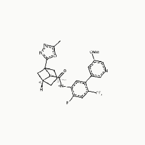 COc1cncc(-c2cc(NC(=O)N3[C@@H]4C[C@@H](C)CC3(c3nnc(C)o3)C4)c(F)cc2C(F)(F)F)c1